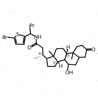 CC(C)C(NC(=O)C[C@@H](C)C1CC[C@H]2C3C(O)CC4CC(=O)CCC4(C)[C@H]3CCC12C)c1ccc(Br)s1